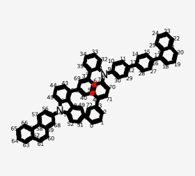 c1ccc(-c2ccc(N(c3ccc(-c4ccc(-c5cccc6ccccc56)cc4)cc3)c3ccccc3-c3cccc(-c4cccc5c4c4ccccc4n5-c4ccc5c(ccc6ccccc65)c4)c3)cc2)cc1